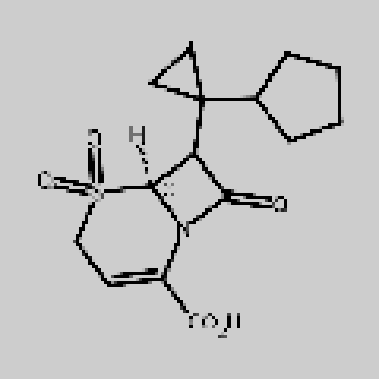 O=C(O)C1=CCS(=O)(=O)[C@H]2C(C3(C4CCCC4)[CH]C3)C(=O)N12